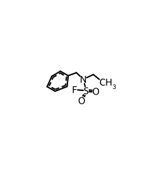 CCN(Cc1ccccc1)S(=O)(=O)F